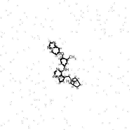 Cc1cc(Nc2ncnn3ccc(CN4CC5CCC(C4)C5N)c23)ccc1Oc1ccn2ncnc2c1